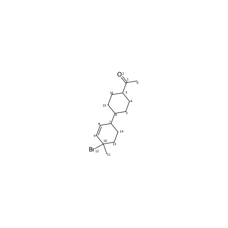 CC(=O)C1CCC(C2C=CC(C)(Br)CC2)CC1